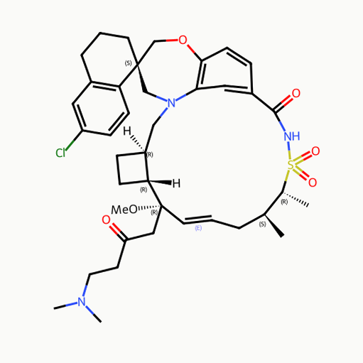 CO[C@@]1(CC(=O)CCN(C)C)/C=C/C[C@H](C)[C@@H](C)S(=O)(=O)NC(=O)c2ccc3c(c2)N(C[C@@H]2CC[C@H]21)C[C@@]1(CCCc2cc(Cl)ccc21)CO3